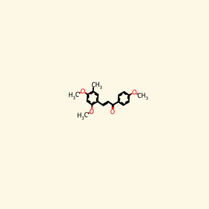 COc1ccc(C(=O)/C=C/c2cc(C)c(OC)cc2OC)cc1